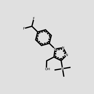 C[Si](C)(C)c1nnn(-c2ccc(C(F)F)cc2)c1CO